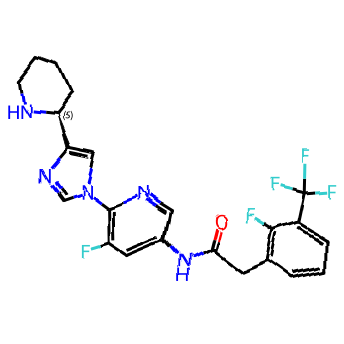 O=C(Cc1cccc(C(F)(F)F)c1F)Nc1cnc(-n2cnc([C@@H]3CCCCN3)c2)c(F)c1